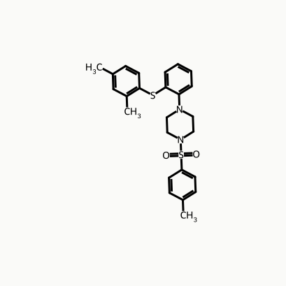 Cc1ccc(S(=O)(=O)N2CCN(c3ccccc3Sc3ccc(C)cc3C)CC2)cc1